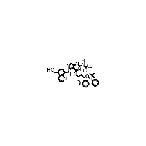 CCC[C@@H](CCO[Si](c1ccccc1)(c1ccccc1)C(C)(C)C)Nc1nc(NC(=O)OC)nc2cnn(Cc3ccc(CO)c4cccnc34)c12